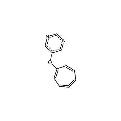 C1=CC=CC(Oc2cncnc2)=CC=1